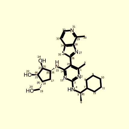 Cc1nc(N[C@H](C)C2CCCCC2)nc(N[C@@H]2C[C@H](CO)[C@@H](O)[C@H]2O)c1-c1nc2c(C)nccc2s1